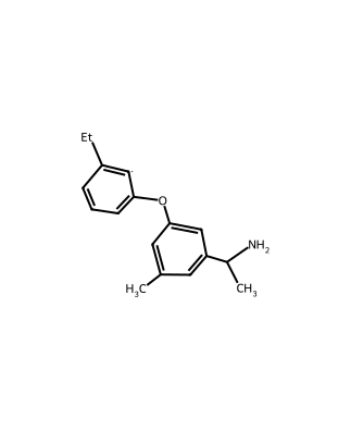 CCc1[c]c(Oc2cc(C)cc(C(C)N)c2)ccc1